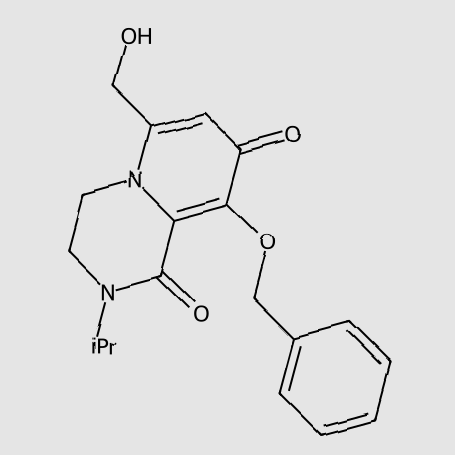 CC(C)N1CCn2c(CO)cc(=O)c(OCc3ccccc3)c2C1=O